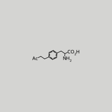 CC(=O)CCc1ccc(CC(N)C(=O)O)cc1